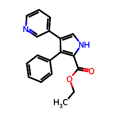 CCOC(=O)c1[nH]cc(-c2cccnc2)c1-c1ccccc1